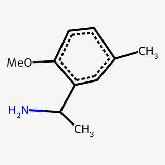 COc1ccc(C)cc1C(C)N